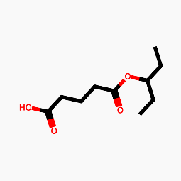 CCC(CC)OC(=O)CCCC(=O)O